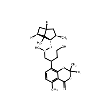 COc1ccc(C(CCO)CB(O)O[C@]23[C@H](C)C[C@H]4C[C@@H]2C43C)c2c1C(=O)OC(C)(C)O2